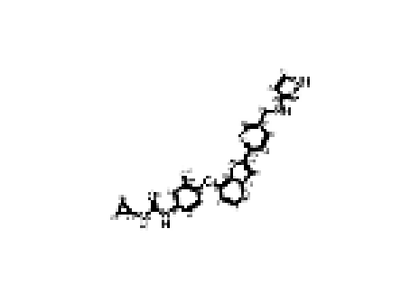 O=C(Nc1ccc(Oc2ccnc3cc(-c4ccc(CNc5cc[nH]n5)cn4)sc23)c(F)c1)NC1CC1